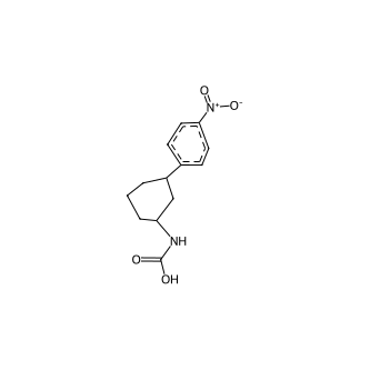 O=C(O)NC1CCCC(c2ccc([N+](=O)[O-])cc2)C1